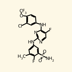 Cc1cc(Nc2ncc(F)c(Nc3ccc(OC(F)(F)F)c(Cl)c3)n2)cc(S(N)(=O)=O)c1F